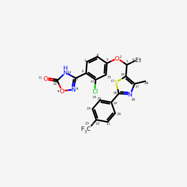 CCC(Oc1ccc(-c2noc(=O)[nH]2)c(Cl)c1)c1sc(-c2ccc(C(F)(F)F)cc2)nc1C